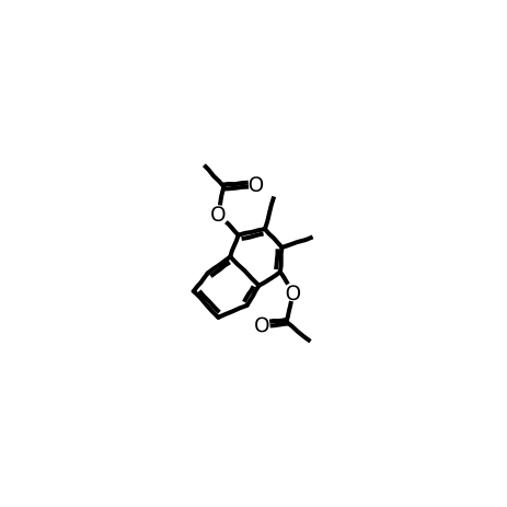 CC(=O)Oc1c(C)c(C)c(OC(C)=O)c2ccccc12